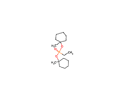 CCP(=O)(OC1(C)CCCCC1)OC1(C)CCCCC1